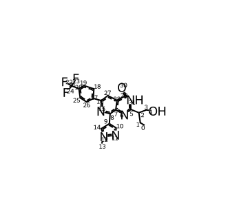 CCC(CO)c1nc2c(-c3cnn(C)c3)nc(-c3ccc(C(F)(F)F)cc3)cc2c(=O)[nH]1